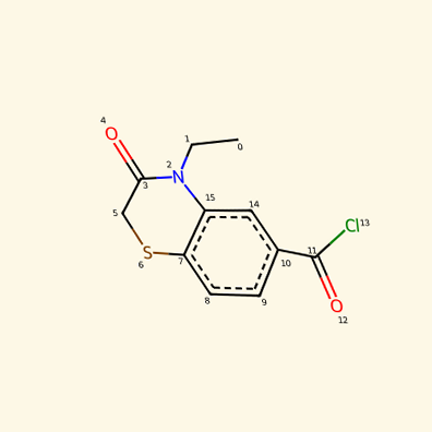 CCN1C(=O)CSc2ccc(C(=O)Cl)cc21